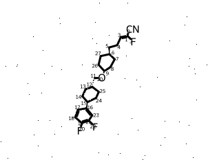 N#CC(F)=CCC[C@H]1CC[C@H](OC[C@H]2CC[C@H](c3ccc(F)c(F)c3)CC2)CC1